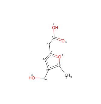 Cc1oc(CC(=O)O)cc1CO